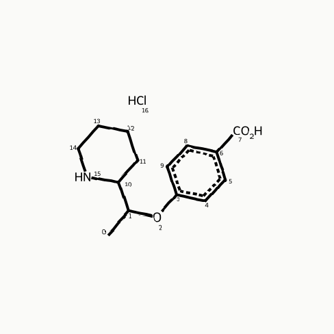 CC(Oc1ccc(C(=O)O)cc1)C1CCCCN1.Cl